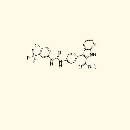 NC(=O)c1[nH]c2ncccc2c1-c1ccc(NC(=O)Nc2ccc(Cl)c(C(F)(F)F)c2)cc1